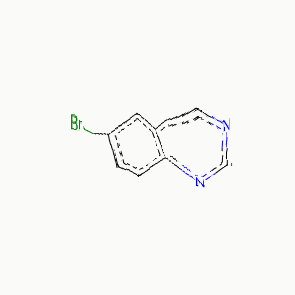 Brc1ccc2n[c]ncc2c1